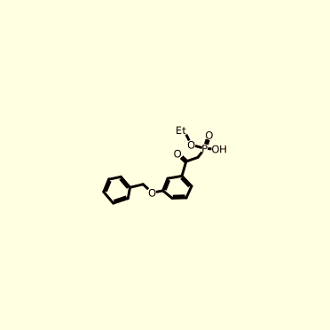 CCOP(=O)(O)CC(=O)c1cccc(OCc2ccccc2)c1